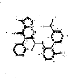 Cc1ccn2nc([C@H](C)Nc3ncnc(N)c3-c3cncc(C(F)F)c3)n(-c3ccccc3)c(=O)c12